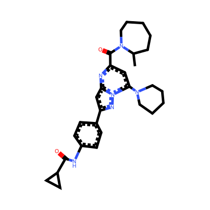 CC1CCCCCN1C(=O)c1cc(N2CCCCC2)n2nc(-c3ccc(NC(=O)C4CC4)cc3)cc2n1